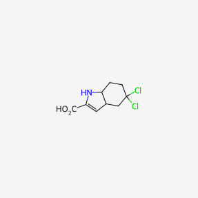 O=C(O)C1=CC2CC(Cl)(Cl)CCC2N1